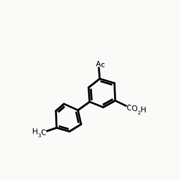 CC(=O)c1cc(C(=O)O)cc(-c2ccc(C)cc2)c1